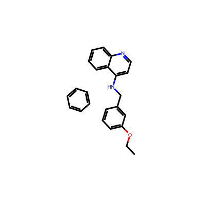 CCOc1cccc(CNc2ccnc3ccccc23)c1.c1ccccc1